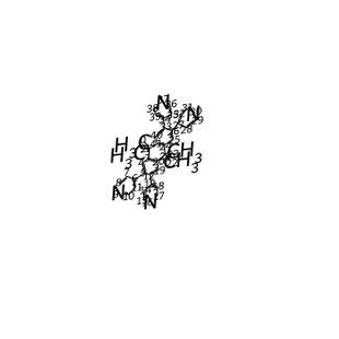 CC1(C)c2cc(-c3ccncc3)c(-c3ccncc3)cc2C(C)(C)c2cc(-c3ccncc3)c(-c3ccncc3)cc21